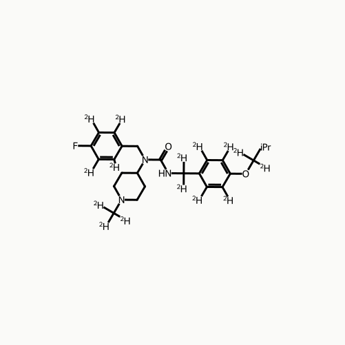 [2H]c1c([2H])c(CN(C(=O)NC([2H])([2H])c2c([2H])c([2H])c(OC([2H])([2H])C(C)C)c([2H])c2[2H])C2CCN(C([2H])([2H])[2H])CC2)c([2H])c([2H])c1F